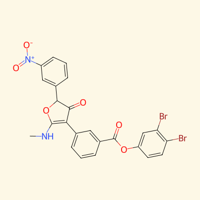 CNC1=C(c2cccc(C(=O)Oc3ccc(Br)c(Br)c3)c2)C(=O)C(c2cccc([N+](=O)[O-])c2)O1